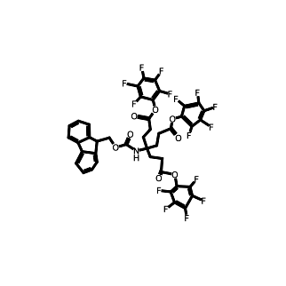 O=C(CCC(CCC(=O)Oc1c(F)c(F)c(F)c(F)c1F)(CCC(=O)Oc1c(F)c(F)c(F)c(F)c1F)NC(=O)OCC1c2ccccc2-c2ccccc21)Oc1c(F)c(F)c(F)c(F)c1F